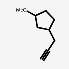 [C]#CCC1CCC(OC)C1